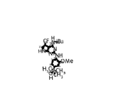 CC[C@H](C)Nc1nc(Nc2ccc(P(C)(C)(C)O)cc2OC)nc2[nH]cc(C(F)(F)F)c12